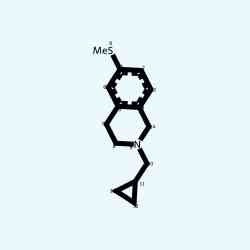 CSc1ccc2c(c1)CCN(CC1CC1)C2